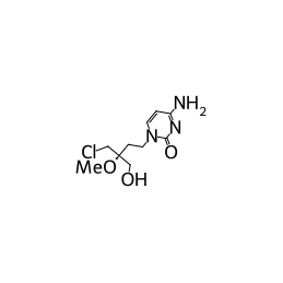 CO[C@@](CO)(CCl)CCn1ccc(N)nc1=O